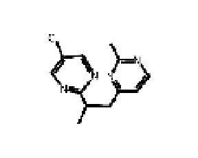 Cc1nccc(CC(C)c2ncc(Cl)cn2)n1